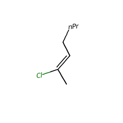 CCCC/C=C(/C)Cl